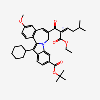 CCOC(=O)/C(=C\CC(C)C)C(=O)C1=Cc2cc(OC)ccc2-c2c(C3CCCCC3)c3ccc(C(=O)OC(C)(C)C)cc3n2C1